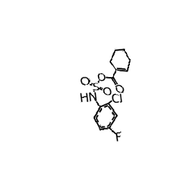 O=C(OS(=O)(=O)Nc1ccc(F)cc1Cl)C1=CCCCC1